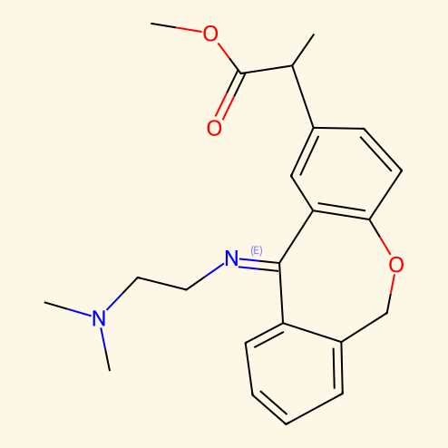 COC(=O)C(C)c1ccc2c(c1)/C(=N/CCN(C)C)c1ccccc1CO2